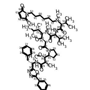 CC[C@H](C)[C@@H]([C@@H](CC(=O)N1CCC[C@H]1[C@H](OC)[C@@H](C)C(=O)N[C@@H](Cc1ccccc1)c1nnc(-c2ccccc2)o1)OC)N(C)C(=O)[C@@H](NC(=O)[C@H](C(C)C)N(C)CCCCCCN1C(=O)C=CC1=O)C(C)C